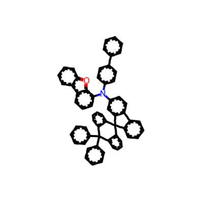 c1ccc(-c2ccc(N(c3ccc4c(c3)C3(c5ccccc5-4)c4ccccc4C(c4ccccc4)(c4ccccc4)c4ccccc43)c3cccc4c3oc3ccccc34)cc2)cc1